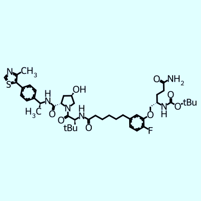 Cc1ncsc1-c1ccc([C@H](C)NC(=O)[C@@H]2C[C@@H](O)CN2C(=O)[C@@H](NC(=O)CCCCCc2ccc(F)c(OC[C@H](CCC(N)=O)NC(=O)OC(C)(C)C)c2)C(C)(C)C)cc1